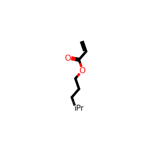 [CH2]C(C)CCCOC(=O)C=C